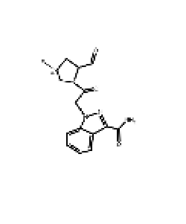 NC(=O)c1nn(CC(=O)N2C[C@H](F)CC2C=O)c2ccccc12